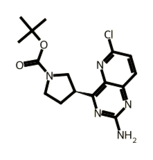 CC(C)(C)OC(=O)N1CC[C@H](c2nc(N)nc3ccc(Cl)nc23)C1